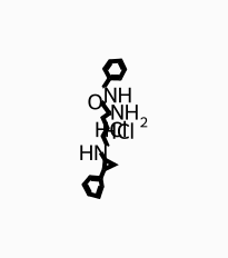 Cl.Cl.NC(CCCCNC1CC1c1ccccc1)C(=O)NCc1ccccc1